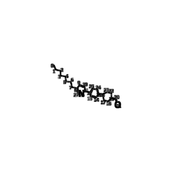 CCCCCCCCc1ccc(-c2ccc(C3CCC(C=O)CC3)cc2)nc1